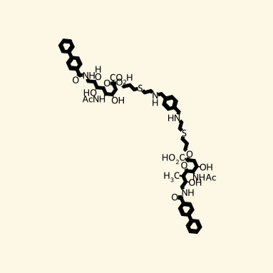 CC(=O)N[C@H]1[C@H]([C@H](O)[C@H](O)CNC(=O)c2ccc(-c3ccccc3)cc2)O[C@@](OCCCSCCNCc2ccc(CNCCSCCCO[C@]3(C(=O)O)C[C@H](O)[C@@H](NC(C)=O)C([C@H](C)[C@H](O)CNC(=O)c4ccc(-c5ccccc5)cc4)O3)cc2)(C(=O)O)C[C@@H]1O